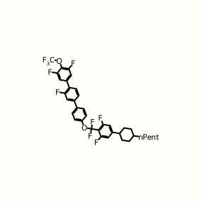 CCCCCC1CCC(c2cc(F)c(C(F)(F)Oc3ccc(-c4ccc(-c5cc(F)c(OC(F)(F)F)c(F)c5)c(F)c4)cc3)c(F)c2)CC1